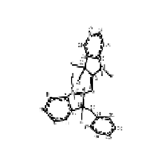 CN1C(=CC2=[N+](C)c3ccccc3C2(C)Cc2ccccc2)C(C)(C)c2cnccc21